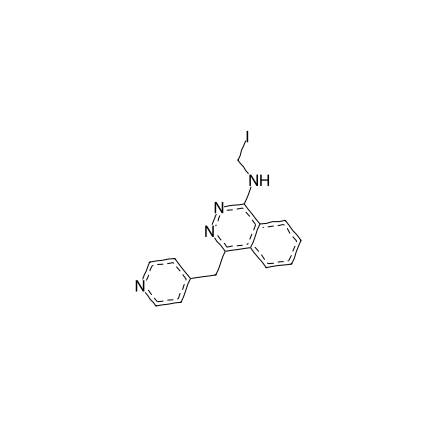 ICNc1nnc(Cc2ccncc2)c2ccccc12